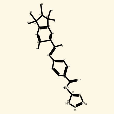 CC(=Cc1ccc(C(=O)Nc2nnn[nH]2)cc1)c1cc2c(cc1C)C(C)(C)C(C)C2(C)C